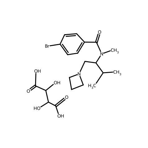 CC(C)C(CN1CCC1)N(C)C(=O)c1ccc(Br)cc1.O=C(O)C(O)C(O)C(=O)O